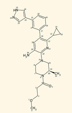 COCCC(=O)N1CCN(c2nc(C3CC3)c(-c3cccc(-c4cn[nH]c4)c3)cc2N)C[C@H]1C